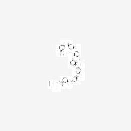 Nc1cccc(Oc2ccc(Oc3ccc(Oc4ccccc4Oc4ccc(Oc5ccc(Oc6cccc(N)c6)cc5)cc4)cc3)cc2)c1